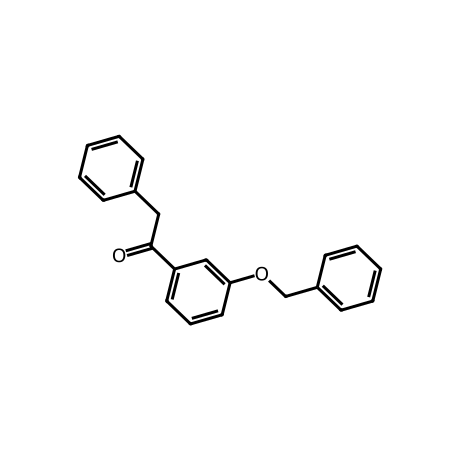 O=C(Cc1ccccc1)c1cccc(OCc2ccccc2)c1